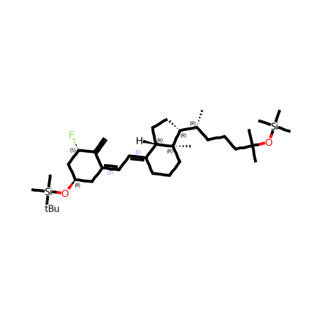 C=C1/C(=C\C=C2/CCC[C@]3(C)[C@@H]([C@H](C)CCCC(C)(C)O[Si](C)(C)C)CC[C@@H]23)C[C@@H](O[Si](C)(C)C(C)(C)C)C[C@@H]1F